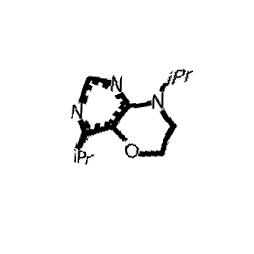 CC(C)c1ncnc2c1OCCN2C(C)C